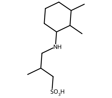 CC(CNC1CCCC(C)C1C)CS(=O)(=O)O